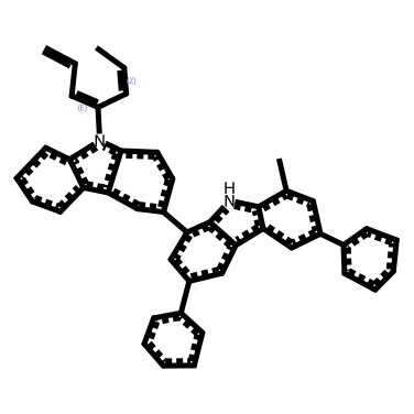 C=C/C=C(\C=C/C)n1c2ccccc2c2cc(-c3cc(-c4ccccc4)cc4c3[nH]c3c(C)cc(-c5ccccc5)cc34)ccc21